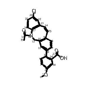 COc1ccc(-c2ccc3c(c2)CN(C(C)=O)c2ccc(Cl)cc2/C=C\3)c(C(=O)O)c1